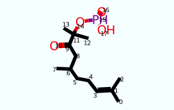 CC(C)=CCCC(C)CC(=O)C(C)(C)O[PH](=O)O